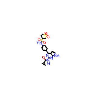 O=C(Nc1nc(-c2ccc(NS(=O)(=O)C3CCS(=O)(=O)C3)cc2)c2cc[nH]c2n1)C1CC1